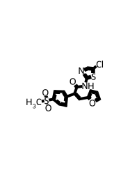 CS(=O)(=O)c1ccc(C(=Cc2ccco2)C(=O)Nc2ncc(Cl)s2)cc1